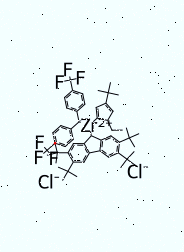 CCC1C=C(C(C)(C)C)C=[C]1[Zr+2](=[C](c1ccc(C(F)(F)F)cc1)c1ccc(C(F)(F)F)cc1)[CH]1c2cc(C(C)(C)C)c(C(C)(C)C)cc2-c2cc(C(C)(C)C)c(C(C)(C)C)cc21.[Cl-].[Cl-]